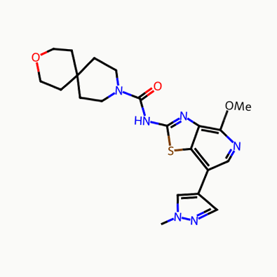 COc1ncc(-c2cnn(C)c2)c2sc(NC(=O)N3CCC4(CCOCC4)CC3)nc12